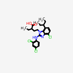 CCC(CCn1c(Nc2ccc(Cl)cc2Cl)nc2c(Cl)ccc(C(CC)CC)c21)C(=O)O